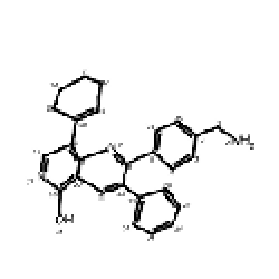 NCc1ccc(-c2nc3c(C4=CCCCC4)cnc(O)c3cc2-c2ccccc2)cc1